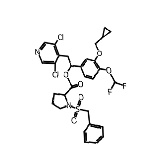 O=C(OC(Cc1c(Cl)cncc1Cl)c1ccc(OC(F)F)c(OCC2CC2)c1)C1CCCN1S(=O)(=O)Cc1ccccc1